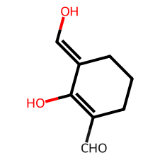 O=CC1=C(O)/C(=C/O)CCC1